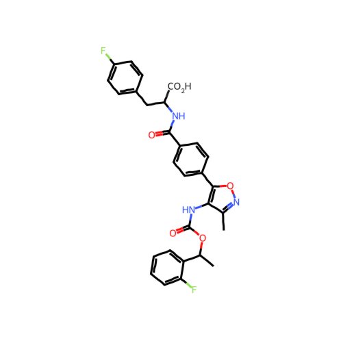 Cc1noc(-c2ccc(C(=O)NC(Cc3ccc(F)cc3)C(=O)O)cc2)c1NC(=O)OC(C)c1ccccc1F